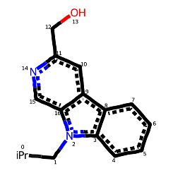 CC(C)Cn1c2ccccc2c2cc(CO)ncc21